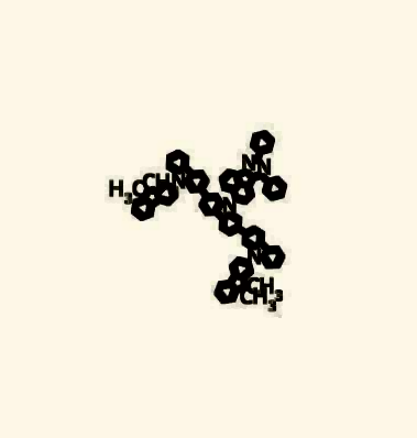 CC1(C)c2ccccc2-c2ccc(-n3c4ccccc4c4ccc(-c5ccc6c7ccc(-c8ccc9c%10ccccc%10n(-c%10ccc%11c(c%10)C(C)(C)c%10ccccc%10-%11)c9c8)cc7n(-c7ccc8c9c(cccc79)-c7nc(-c9ccccc9)nc(-c9ccccc9)c7-8)c6c5)cc43)cc21